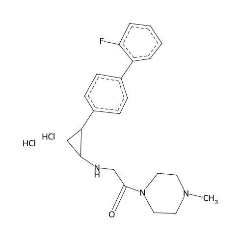 CN1CCN(C(=O)CNC2CC2c2ccc(-c3ccccc3F)cc2)CC1.Cl.Cl